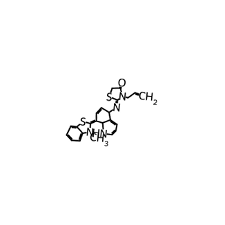 C=CCN1C(=O)CSC1=NC1C=CC(=C2Sc3ccccc3N2C)C2NC=CC=C12